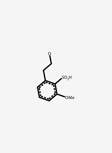 COc1cccc(CC[O])c1S(=O)(=O)O